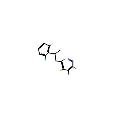 CCc1c(Cl)cnc(CC(C)c2c(F)cccc2Cl)c1F